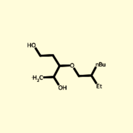 [CH2]C(O)C(CCO)OCC(CC)CCCC